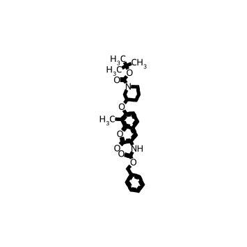 Cc1c(OC2CCCN(C(=O)OC(C)(C)C)C2)ccc2cc(NC(=O)OCc3ccccc3)c(=O)oc12